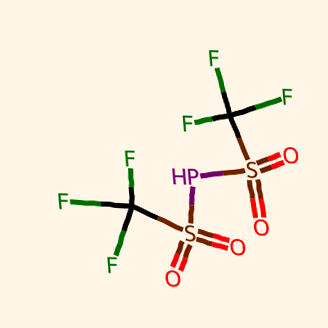 O=S(=O)(PS(=O)(=O)C(F)(F)F)C(F)(F)F